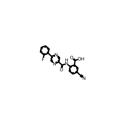 N#Cc1ccc(NC(=O)c2cnc(-c3ccccc3F)cn2)c(C(=O)O)c1